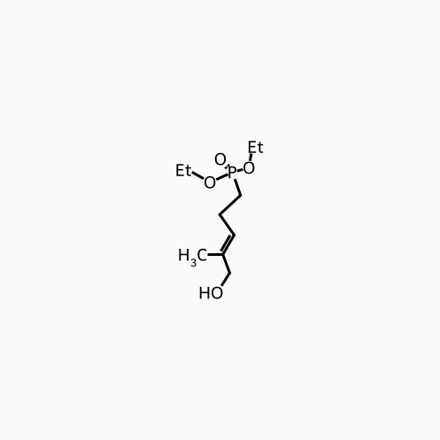 CCOP(=O)(CC/C=C(\C)CO)OCC